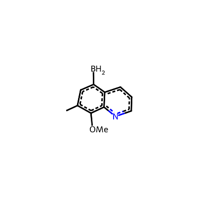 Bc1cc(C)c(OC)c2ncccc12